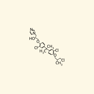 C[C@H](CCl)COc1ccc(C(C)(C)c2ccc(OC[C@H](O)Cn3ccnc3)c(Cl)c2)cc1Cl